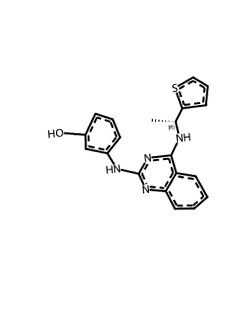 C[C@@H](Nc1nc(Nc2cccc(O)c2)nc2ccccc12)c1cccs1